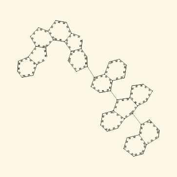 c1ccc2c(-c3c4ccccc4c(-c4ccc(-c5ccc6c(c5)oc5ccc7ccc8c9ccccc9oc8c7c56)c5ccccc45)c4ccccc34)cccc2c1